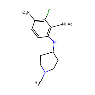 CC(=O)Nc1c(NC2CCN(C)CC2)ccc([N+](=O)[O-])c1Cl